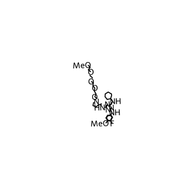 COCCOCCOCCOCCOCN1CCCC1CNc1nc(Nc2ccc(OC)c(F)c2)nc(NC2CCCCCC2)n1